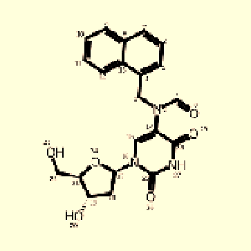 O=CN(Cc1cccc2ccccc12)c1cn([C@H]2C[C@H](O)[C@@H](CO)O2)c(=O)[nH]c1=O